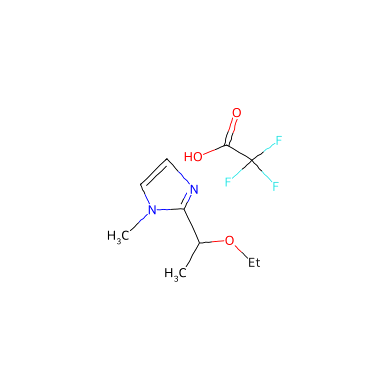 CCOC(C)c1nccn1C.O=C(O)C(F)(F)F